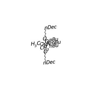 CCCCCCCCCCCCCCCCOCCC[N+](CCCOCCCCCCCCCCCCCCCC)(CN1C(=O)C(CCCC)C(CCCC)C1CCCC)c1ccc(C)cc1C